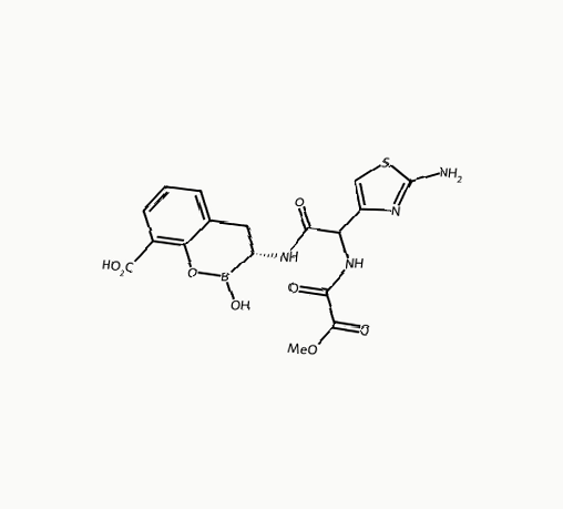 COC(=O)C(=O)NC(C(=O)N[C@H]1Cc2cccc(C(=O)O)c2OB1O)c1csc(N)n1